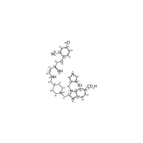 CCn1cncc1Cn1c(CN2CCC(CN/C=C\C(=N)COc3ccc(Cl)cc3C#N)CC2)nc2ccc(C(=O)O)cc21